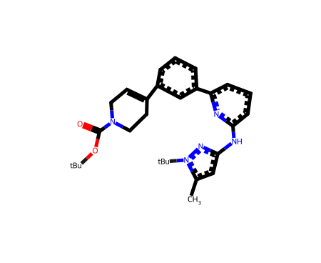 Cc1cc(Nc2cccc(-c3cccc(C4=CCN(C(=O)OC(C)(C)C)CC4)c3)n2)nn1C(C)(C)C